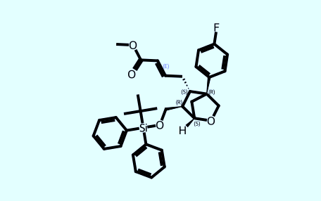 COC(=O)/C=C/C[C@H]1[C@H](CO[Si](c2ccccc2)(c2ccccc2)C(C)(C)C)[C@@H]2C[C@@]1(c1ccc(F)cc1)CO2